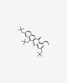 C=C1c2cc3ccc(CC(C)(C)C)cc3c(CC(C)(C)C)c2Sc2cc(CC(C)(C)C)cc(/C=C\C)c21